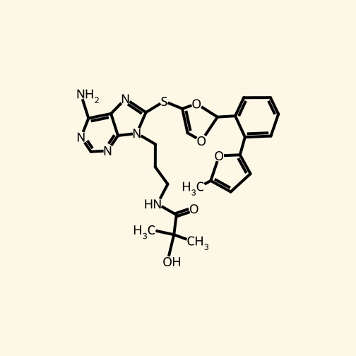 Cc1ccc(-c2ccccc2C2OC=C(Sc3nc4c(N)ncnc4n3CCCNC(=O)C(C)(C)O)O2)o1